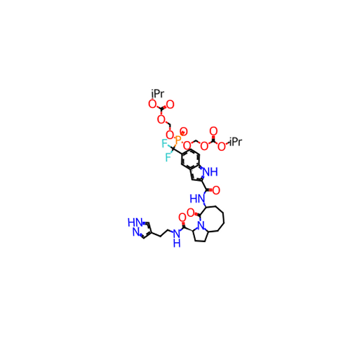 CC(C)OC(=O)OCOP(=O)(OCOC(=O)OC(C)C)C(F)(F)c1ccc2[nH]c(C(=O)N[C@H]3CCCCC4CC[C@@H](C(=O)NCCc5cn[nH]c5)N4C3=O)cc2c1